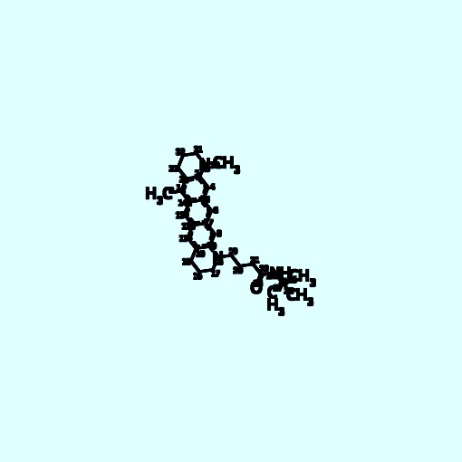 Cc1c2c(cc3cc4cc5c(cc4cc13)CCCN5CCCC(=O)NC(C)(C)C)N(C)CCC2